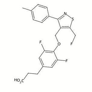 Cc1ccc(-c2nsc(CF)c2COc2c(F)cc(CCC(=O)O)cc2F)cc1